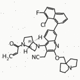 C=CC(=O)N1CC[C@@H]2[C@H]1CN2c1c(CC#N)c(OCC23CCCN2CCC3)nc2cc(-c3cccc4ccc(F)c(Cl)c34)ccc12